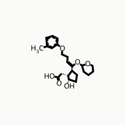 Cc1cccc(OCCC=C(OC2CCCCO2)[C@H]2CC[C@H](O)[C@@H]2CC(=O)O)c1